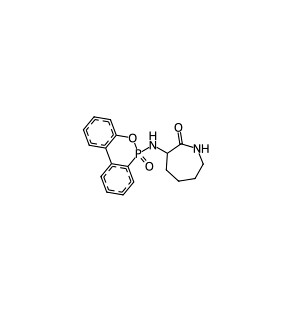 O=C1NCCCCC1NP1(=O)Oc2ccccc2-c2ccccc21